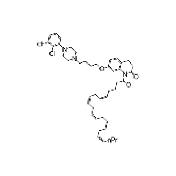 CCC/C=C\C/C=C\C/C=C\C/C=C\C/C=C\CCCC(=O)N1C(=O)CCc2ccc(OCCCCN3CCN(c4cccc(Cl)c4Cl)CC3)cc21